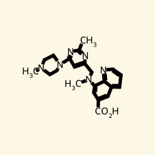 Cc1nc(CN(C)c2cc(C(=O)O)cc3cccnc23)cc(N2CCN(C)CC2)n1